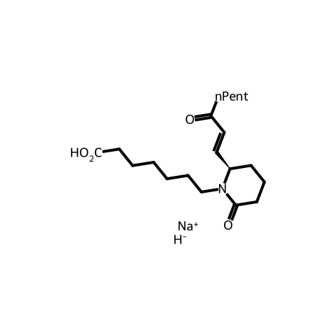 CCCCCC(=O)C=C[C@H]1CCCC(=O)N1CCCCCCC(=O)O.[H-].[Na+]